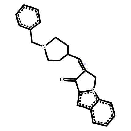 O=C1/C(=C\C2CCN(Cc3ccccc3)CC2)Cn2c1cc1ccccc12